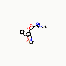 Cn1cnc(C(=O)CC(=O)c2cc(Cc3ccccc3)cc(CN3CCCS3(=O)=O)c2)c1